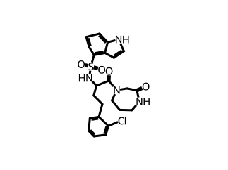 O=C1CN(C(=O)C(CCc2ccccc2Cl)NS(=O)(=O)c2cccc3[nH]ccc23)CCCN1